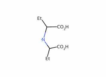 CCC([N]C(CC)C(=O)O)C(=O)O